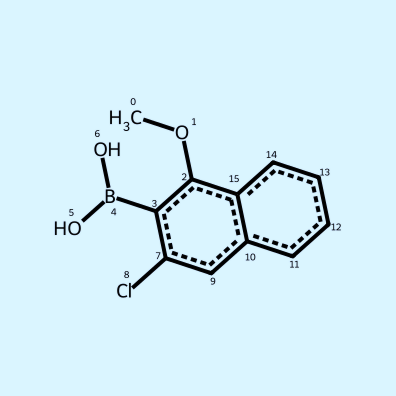 COc1c(B(O)O)c(Cl)cc2ccccc12